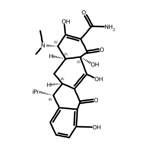 CC(C)[C@H]1c2cccc(O)c2C(=O)C2=C(O)[C@]3(O)C(=O)C(C(N)=O)=C(O)[C@@H](N(C)C)[C@@H]3C[C@@H]21